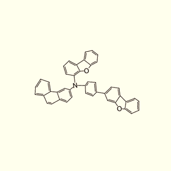 c1ccc2c(c1)ccc1ccc(N(c3ccc(-c4ccc5c(c4)oc4ccccc45)cc3)c3cccc4c3oc3ccccc34)cc12